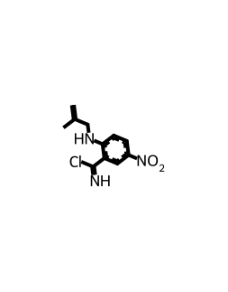 C=C(C)CNc1ccc([N+](=O)[O-])cc1C(=N)Cl